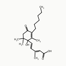 CCCCCCC1=C(C)C(O)(C=CC(C)=CC(=O)O)C(C)(C)CC1=O